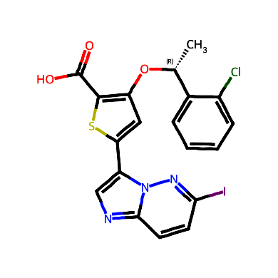 C[C@@H](Oc1cc(-c2cnc3ccc(I)nn23)sc1C(=O)O)c1ccccc1Cl